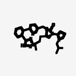 CCCCc1cn(-c2cccn2CC(C)C)c(=O)n1Cc1ccc(-c2ccccc2-c2nnn[nH]2)nc1